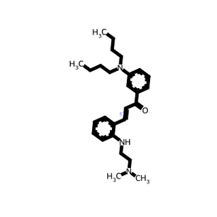 CCCCN(CCCC)c1cccc(C(=O)/C=C/c2ccccc2NCCN(C)C)c1